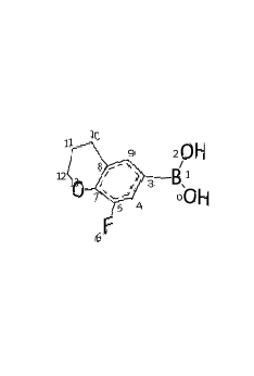 OB(O)c1cc(F)c2c(c1)CCCO2